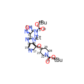 CCn1c(-c2nonc2NC(=O)OC(C)(C)C)nc2cncc(OC3CCN(C(=O)OC(C)(C)C)CC3)c21